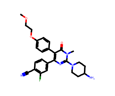 COCCOc1ccc(-c2c(-c3ccc(C#N)c(F)c3)nc(N3CCC(N)CC3)n(C)c2=O)cc1